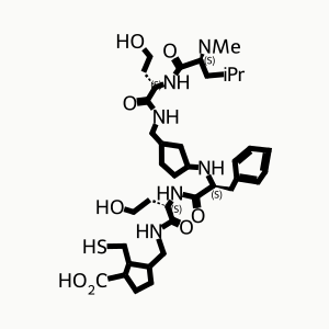 CN[C@@H](CC(C)C)C(=O)N[C@@H](CCO)C(=O)NCC1CCC(N[C@@H](Cc2ccccc2)C(=O)N[C@@H](CCO)C(=O)NCC2CCC(C(=O)O)C2CS)C1